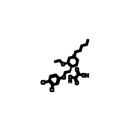 CCCCCN1CC[C@H](CCOc2ccc(Cl)c(Cl)c2)[C@@H](OCC)C1.O=C(O)C(=O)O